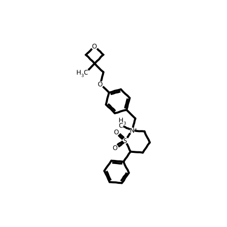 CC1(COc2ccc(C[N+]3(C)CCCC(c4ccccc4)S3(=O)=O)cc2)COC1